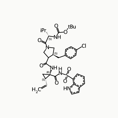 C=C[C@@H]1C[C@]1(NC(=O)C1CN(C(=O)[C@@H](NC(=O)OC(C)(C)C)C(C)C)C[C@H]1Cc1ccc(Cl)cc1)C(=O)NS(=O)(=O)c1cccc2cc[nH]c12